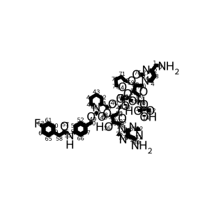 NCc1ccn([C@@H]2O[C@H](COP(=O)(O)O)[C@@H](OP(=O)(O)OC[C@H]3O[C@@H](n4cnc5c(N)ncnc54)[C@H](O)[C@@H]3OC(=O)[C@@H]3CCCCN3C(=O)OCc3ccc(NC(=O)Cc4ccc(F)cc4)cc3)[C@H]2OC2CCCO2)c(=O)n1